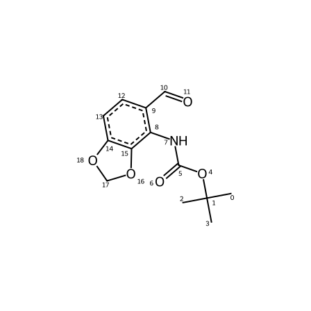 CC(C)(C)OC(=O)Nc1c(C=O)ccc2c1OCO2